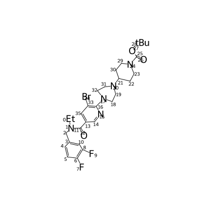 CCN(Cc1ccc(F)c(F)c1)C(=O)c1cnc(N2CCN(C3CCN(C(=O)OC(C)(C)C)CC3)CC2)c(Br)c1